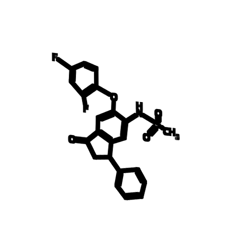 CS(=O)(=O)Nc1cc2c(cc1Oc1ccc(F)cc1F)C(=O)CC2c1ccccc1